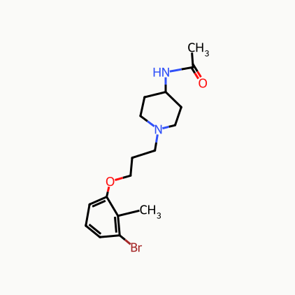 CC(=O)NC1CCN(CCCOc2cccc(Br)c2C)CC1